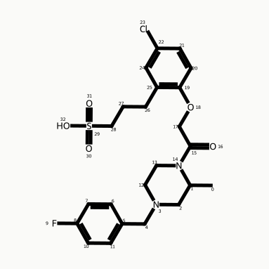 CC1CN(Cc2ccc(F)cc2)CCN1C(=O)COc1ccc(Cl)cc1CCCS(=O)(=O)O